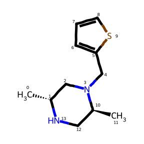 C[C@@H]1CN(Cc2cccs2)[C@@H](C)CN1